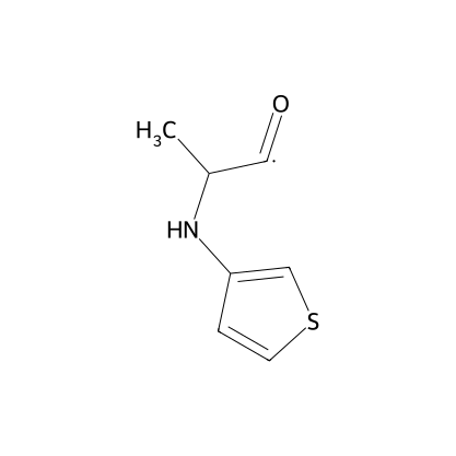 CC([C]=O)Nc1ccsc1